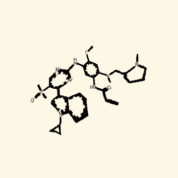 C=CC(=O)Nc1cc(Nc2ncc(P(C)(C)=O)c(-c3cn(C4CC4)c4ccccc34)n2)c(OC)cc1N(C)CC1CCCN1C